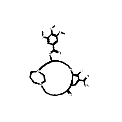 COc1cc(C(=O)OC2CCCOc3cc(cc(C(N)=O)c3Cl)C(=O)CCCCN3CCCN(CC2)CC3)cc(OC)c1OC